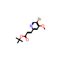 COc1cc(C=CC(=O)OC(C)(C)C)ncc1Br